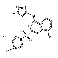 Cc1cc(Nc2nc(S(=O)(=O)c3ccc(F)cc3)cc3c(Br)cccc23)n[nH]1